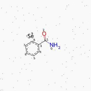 NC(=O)c1ccccc1.[Se]